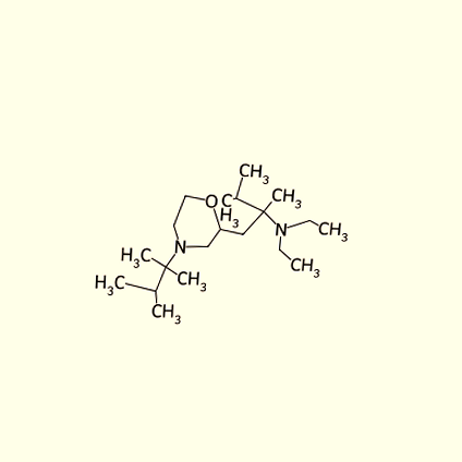 CCN(CC)C(C)(CC1CN(C(C)(C)C(C)C)CCO1)C(C)C